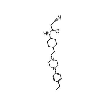 CCc1ccc(N2CCN(CCC3CCC(NC(=O)CC#N)CC3)CC2)cc1